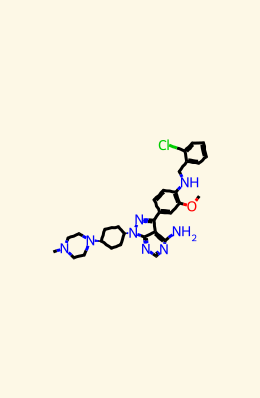 COc1cc(-c2nn([C@H]3CC[C@H](N4CCN(C)CC4)CC3)c3ncnc(N)c23)ccc1NCc1ccccc1Cl